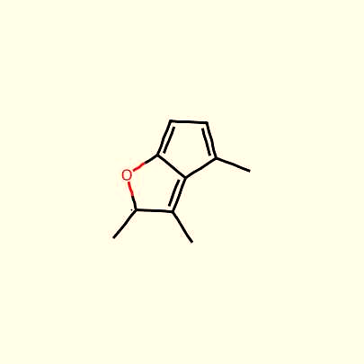 C[C]1OC2=CC=C(C)C2=C1C